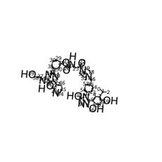 CC(C)c1cc(-c2nnc(O)n2-c2ccc(CN3CCN(C(=O)CNC(=O)Oc4cccc(-c5nc(NCCO)c6oc7ncccc7c6n5)c4)CC3)cc2)c(O)cc1O